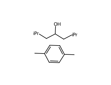 CC(C)CC(O)CC(C)C.Cc1ccc(C)cc1